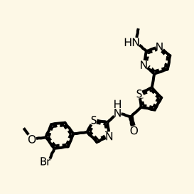 CNc1nccc(-c2ccc(C(=O)Nc3ncc(-c4ccc(OC)c(Br)c4)s3)s2)n1